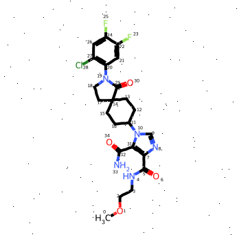 COCCNC(=O)c1ncn(C2CCC3(CC2)CCN(c2cc(F)c(F)cc2Cl)C3=O)c1C(N)=O